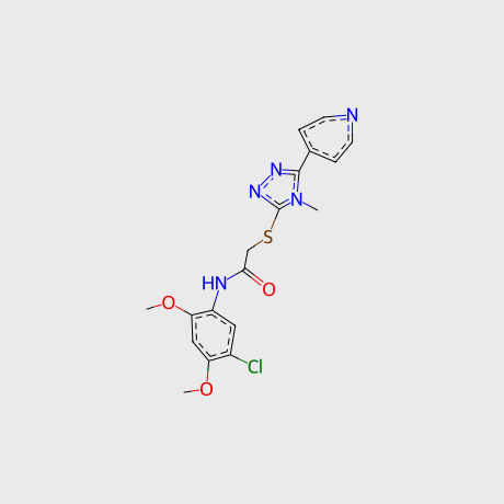 COc1cc(OC)c(NC(=O)CSc2nnc(-c3ccncc3)n2C)cc1Cl